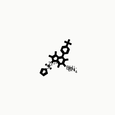 CC1=C(C)[CH]([Zr+2][Si](C)(C)C2C=CC=C2)c2c(C)c(C)c(C)c(-c3ccc(C(C)(C)C)cc3)c21.[BH4-].[BH4-]